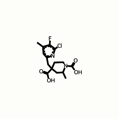 Cc1cc(CC2(C(=O)O)CCN(C(=O)O)C(C)C2)nc(Cl)c1F